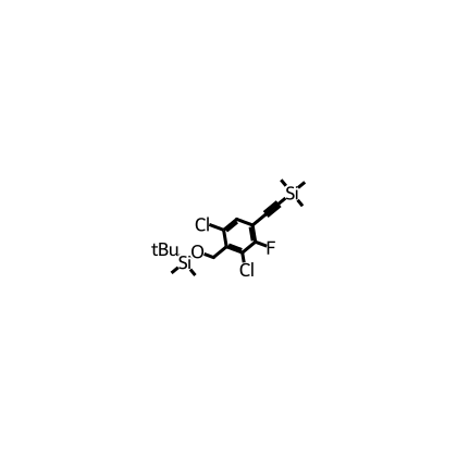 CC(C)(C)[Si](C)(C)OCc1c(Cl)cc(C#C[Si](C)(C)C)c(F)c1Cl